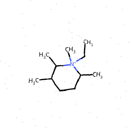 CC[N+]1(C)C(C)CCC(C)C1C